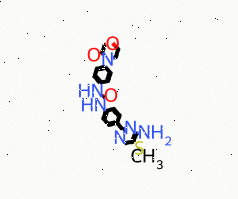 CSc1cnc(-c2ccc(NC(=O)Nc3ccc(N4CCOCC4=O)cc3)cc2)nc1N